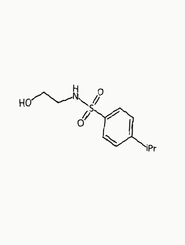 CC(C)c1ccc(S(=O)(=O)NCCO)cc1